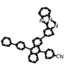 N#Cc1ccc(-c2c3ccccc3c(-c3ccc(-c4ccccc4)cc3)c3ccc(-c4ccc5ncn6c7ccccc7nc6c5c4)cc23)cc1